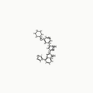 c1cc(-c2ccoc2)c2cc(-c3cc(-c4cncc(OC5CCCCC5)c4)[nH]n3)[nH]c2c1